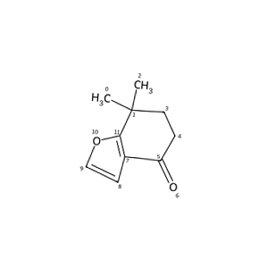 CC1(C)CCC(=O)c2ccoc21